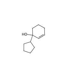 OC1(C2CCCC2)C=CCCC1